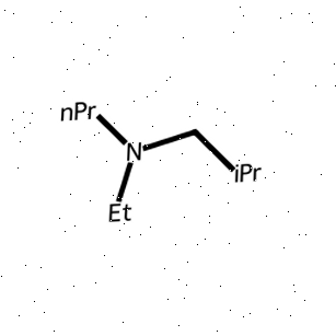 [CH2]CCN(CC)CC(C)C